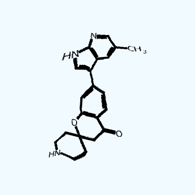 Cc1cnc2[nH]cc(-c3ccc4c(c3)OC3(CCNCC3)CC4=O)c2c1